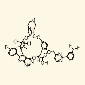 Cc1c(Cl)c2c(Cl)c(C)c1-c1c(-c3ccc(F)cc3)sc3ncnc(c13)O[C@@H](C(=O)O)Cc1cc(ccc1OCc1ccnc(-c3cccc(C(F)F)c3)n1)OC[C@@H](CN1CCN(C)CC1)O2